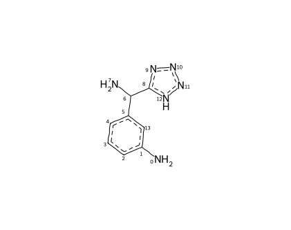 Nc1cccc(C(N)c2nnn[nH]2)c1